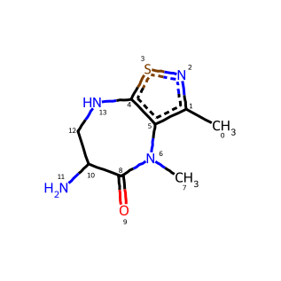 Cc1nsc2c1N(C)C(=O)C(N)CN2